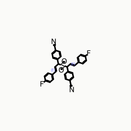 N#Cc1ccc(C(/C=C/c2ccc(F)cc2)S(=O)(=O)C(/C=C/c2ccc(F)cc2)c2ccc(C#N)cc2)cc1